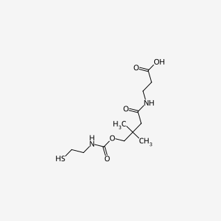 CC(C)(COC(=O)NCCS)CC(=O)NCCC(=O)O